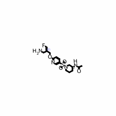 CC(=O)N[C@H]1CCCN(S(=O)(=O)c2ccc(OC/C(=C/F)CN)nc2)C1